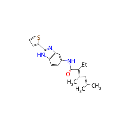 CC/C(C(=O)Nc1ccc2[nH]c(-c3cccs3)nc2c1)=C(/C)C=C(C)C